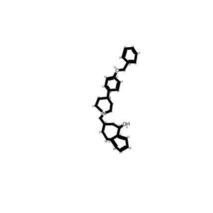 OC1CC(CN2CCC(c3ccc(OCc4ccccc4)cc3)CC2)CCc2ccccc21